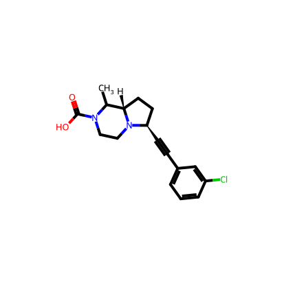 CC1[C@@H]2CC[C@@H](C#Cc3cccc(Cl)c3)N2CCN1C(=O)O